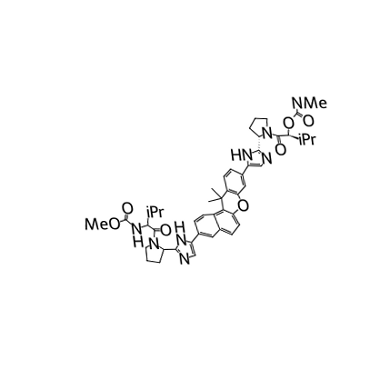 CNC(=O)O[C@H](C(=O)N1CCC[C@H]1c1ncc(-c2ccc3c(c2)Oc2ccc4cc(-c5cnc(C6CCCN6C(=O)C(NC(=O)OC)C(C)C)[nH]5)ccc4c2C3(C)C)[nH]1)C(C)C